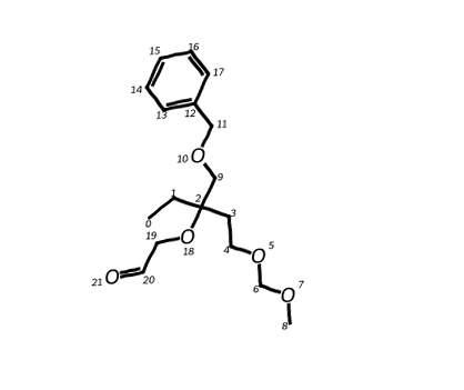 CCC(CCOCOC)(COCc1ccccc1)OCC=O